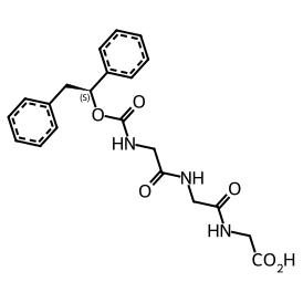 O=C(O)CNC(=O)CNC(=O)CNC(=O)O[C@@H](Cc1ccccc1)c1ccccc1